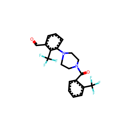 O=[C]c1cccc(N2CCN(C(=O)c3ccccc3C(F)(F)F)CC2)c1C(F)(F)F